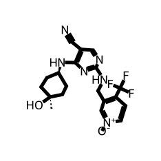 C[C@]1(O)CC[C@@H](Nc2nc(NCc3c[n+]([O-])ccc3C(F)(F)F)ncc2C#N)CC1